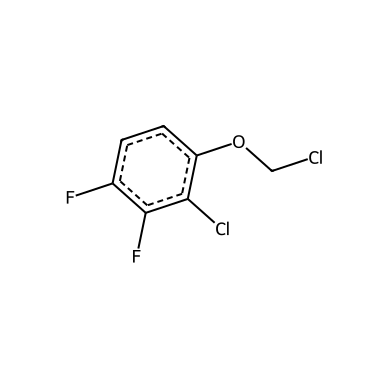 Fc1ccc(OCCl)c(Cl)c1F